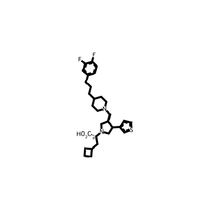 O=C(O)[C@@H](CC1CCC1)N1CC(CN2CCC(CCCc3ccc(F)c(F)c3)CC2)C(c2ccsc2)C1